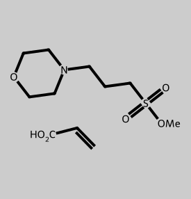 C=CC(=O)O.COS(=O)(=O)CCCN1CCOCC1